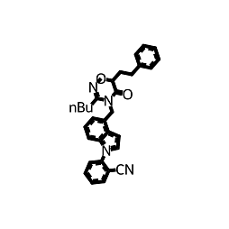 CCCCC1=NOC(CCc2ccccc2)C(=O)N1Cc1cccc2c1ccn2-c1ccccc1C#N